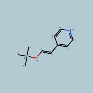 C[Si](C)(C)OC=Cc1ccncc1